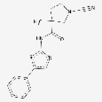 CC1(C(=O)Nc2ncc(-c3ccccc3)s2)CCN(C#N)C1